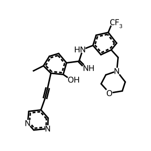 Cc1ccc(C(=N)Nc2cc(CN3CCOCC3)cc(C(F)(F)F)c2)c(O)c1C#Cc1cncnc1